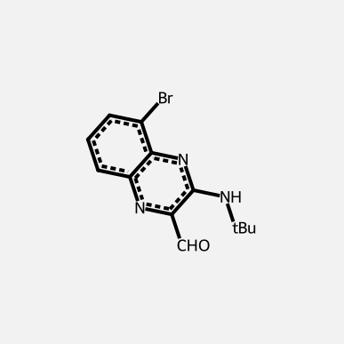 CC(C)(C)Nc1nc2c(Br)cccc2nc1C=O